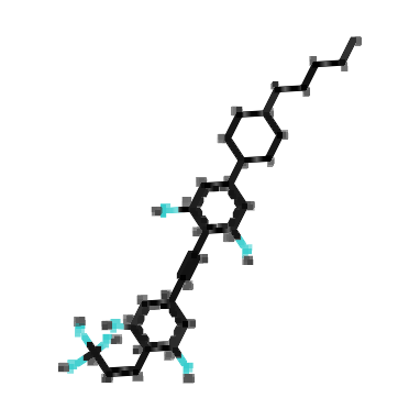 CCCCCC1CCC(c2cc(F)c(C#Cc3cc(F)c(/C=C\C(F)(F)F)c(F)c3)c(F)c2)CC1